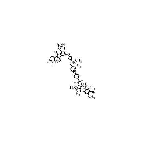 [2H]C([2H])([2H])Oc1cc(OC2CC(N(CC3CCN(c4ccc(C(=O)NC5C(C)(C)C(Oc6cc(C)c(C#N)c(C)c6)C5(C)C)cc4)CC3)C(C)C)C2)cc2c1C(=O)N([C@@H]1CCC(=O)NC1=O)C2=O